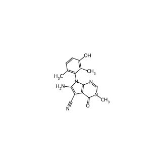 Cc1ccc(O)c(C)c1-n1c(N)c(C#N)c2c(=O)n(C)cnc21